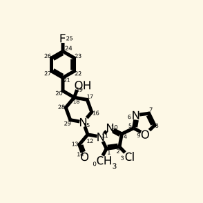 Cc1c(Cl)c(-c2ncco2)nn1C(C=O)N1CCC(O)(Cc2ccc(F)cc2)CC1